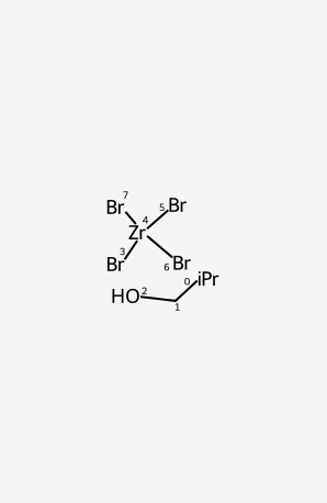 CC(C)CO.[Br][Zr]([Br])([Br])[Br]